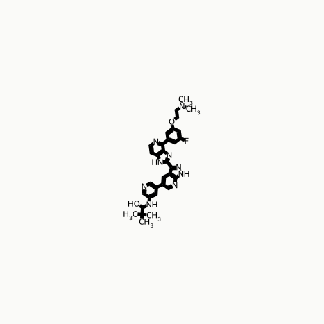 CN(C)CCOc1cc(F)cc(-c2nccc3[nH]c(-c4n[nH]c5ncc(-c6cncc(NC(O)C(C)(C)C)c6)cc45)nc23)c1